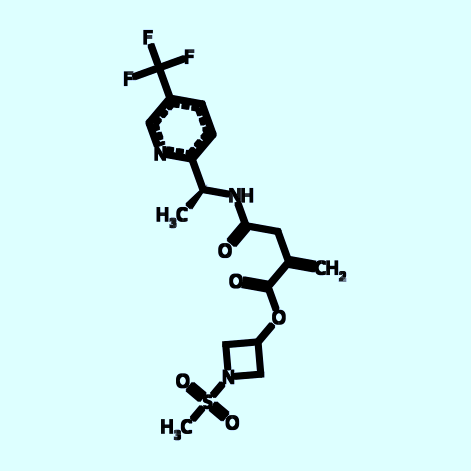 C=C(CC(=O)N[C@@H](C)c1ccc(C(F)(F)F)cn1)C(=O)OC1CN(S(C)(=O)=O)C1